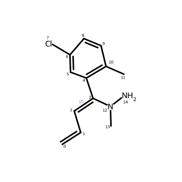 C=C/C=C(/c1cc(Cl)ccc1C)N(C)N